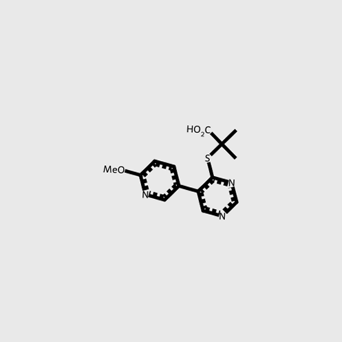 COc1ccc(-c2cncnc2SC(C)(C)C(=O)O)cn1